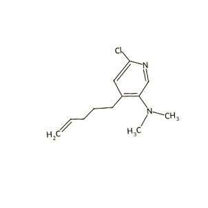 C=CCCCc1cc(Cl)ncc1N(C)C